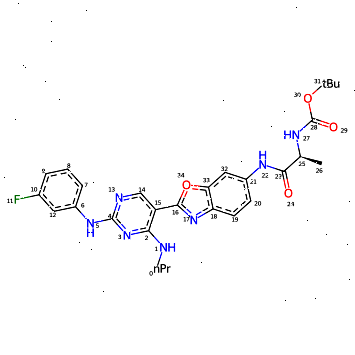 CCCNc1nc(Nc2cccc(F)c2)ncc1-c1nc2ccc(NC(=O)[C@H](C)NC(=O)OC(C)(C)C)cc2o1